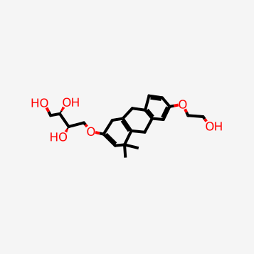 CC1(C)C=C(OC[C@@H](O)[C@H](O)CO)CC2=C1Cc1cc(OCCO)ccc1C2